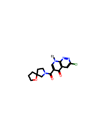 CCn1cc(C(=O)N2CCC3(CCCO3)C2)c(=O)c2cc(Cl)nnc21